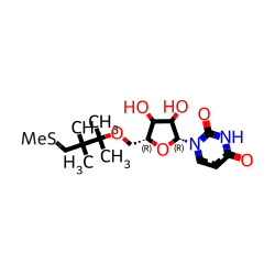 CSCC(C)(C)C(C)(C)OC[C@H]1O[C@@H](n2ccc(=O)[nH]c2=O)C(O)C1O